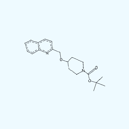 CC(C)(C)OC(=O)N1CCC(OCc2ccc3ccccc3n2)CC1